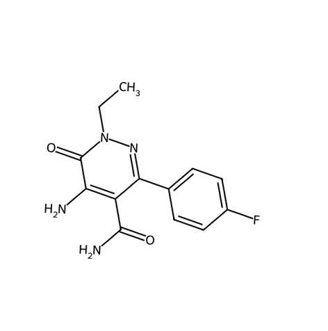 CCn1nc(-c2ccc(F)cc2)c(C(N)=O)c(N)c1=O